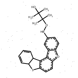 CC(C)(O)C(C)(C)OBc1ccc2oc3ccc4c(c3c2c1)C1C=CC=CC1S4